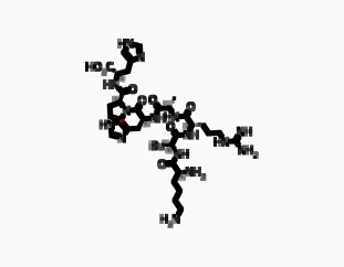 CC[C@H](C)[C@H](NC(=O)[C@@H](N)CCCCN)C(=O)N[C@@H](CCCNC(=N)N)C(=O)N[C@@H](C)C(=O)N[C@@H](Cc1c[nH]cn1)C(=O)N1CCC[C@H]1C(=O)N[C@@H](Cc1c[nH]cn1)C(=O)O